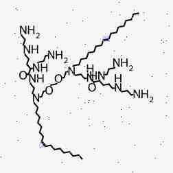 CCCCCCCC/C=C\CCCCCCCCN(CCCNC(=O)C(CCCNCCCN)NCCCN)CCOCCOCCN(CCCCCCCC/C=C/CCCCCCCC)CCCNC(=O)C(CCCNCCCN)NCCCN